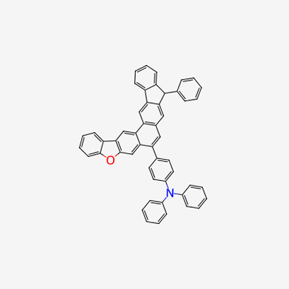 c1ccc(C2c3ccccc3-c3cc4c(cc32)cc(-c2ccc(N(c3ccccc3)c3ccccc3)cc2)c2cc3oc5ccccc5c3cc24)cc1